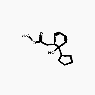 COC(=O)CC1C=CC=CC1(O)C1CCCC1